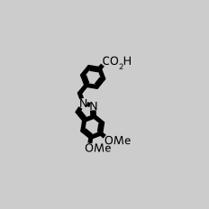 COc1cc2cn(Cc3ccc(C(=O)O)cc3)nc2cc1OC